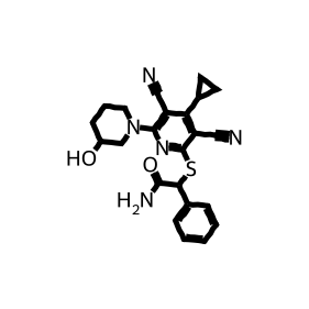 N#Cc1c(SC(C(N)=O)c2ccccc2)nc(N2CCCC(O)C2)c(C#N)c1C1CC1